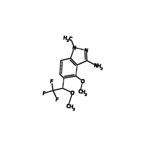 COc1c(C(OC)C(F)(F)F)ccc2c1c(N)nn2C